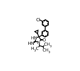 CC(C)C(C)N1C(=N)NC(c2cccc(-c3cccc(Cl)c3)c2)(C2CC2)C1=O